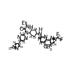 CCNC(=O)N(c1cnc(-c2cnn(C)c2)cn1)[C@H]1CC[C@H](Nc2ncc(C(F)(F)F)c(-c3nn(C(F)F)cc3Cl)n2)CC1